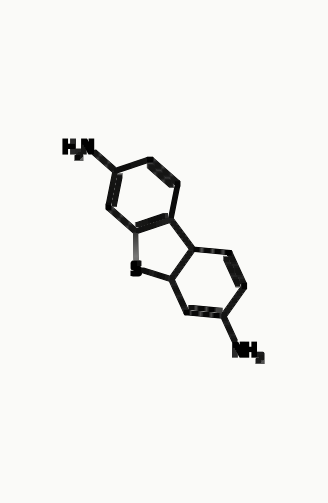 NC1=CC2Sc3cc(N)ccc3C2C=C1